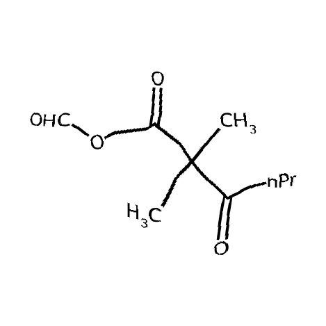 CCCC(=O)C(C)(C)C(=O)OC=O